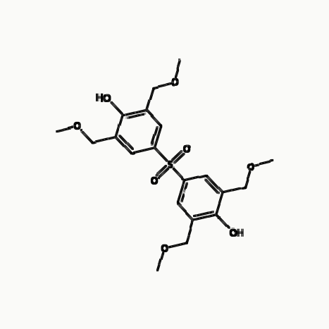 COCc1cc(S(=O)(=O)c2cc(COC)c(O)c(COC)c2)cc(COC)c1O